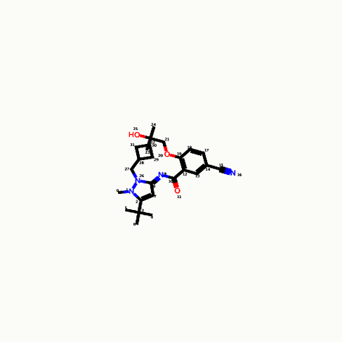 Cn1c(C(C)(C)C)cc(=NC(=O)c2cc(C#N)ccc2OCC(C)(C)O)n1CC1CCC1